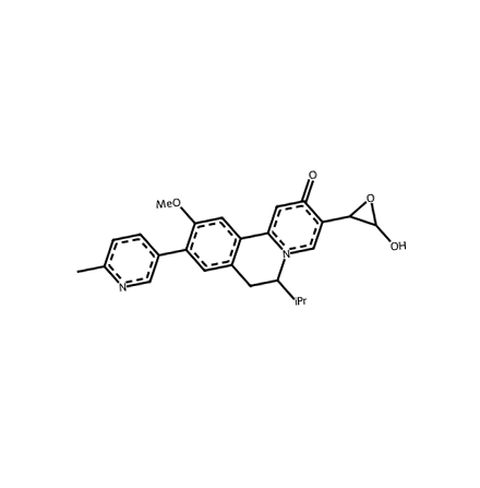 COc1cc2c(cc1-c1ccc(C)nc1)CC(C(C)C)n1cc(C3OC3O)c(=O)cc1-2